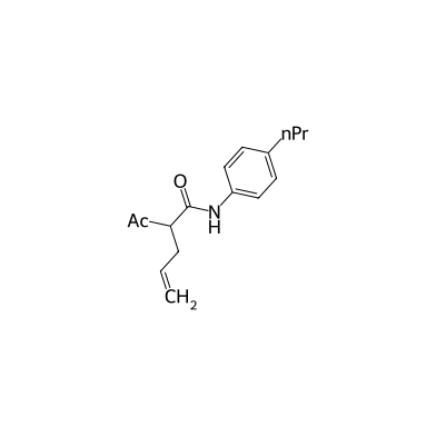 C=CCC(C(C)=O)C(=O)Nc1ccc(CCC)cc1